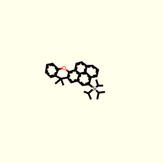 CC(C)[Si](c1cc2cc3c(c4ccc5cccc1c5c24)Oc1ccccc1C3(C)C)(C(C)C)C(C)C